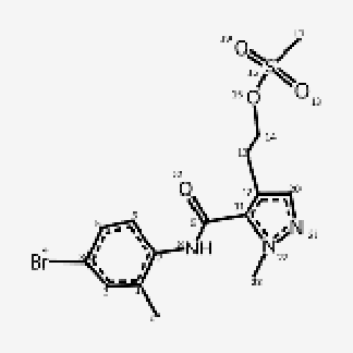 Cc1cc(Br)ccc1NC(=O)c1c(CCOS(C)(=O)=O)cnn1C